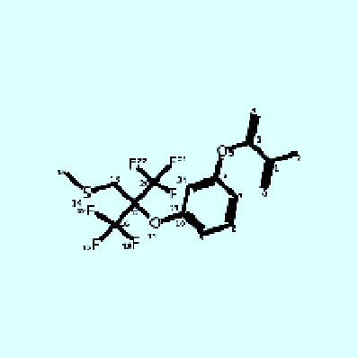 C=C(C)C(=C)Oc1cccc(OC(CSC)(C(F)(F)F)C(F)(F)F)c1